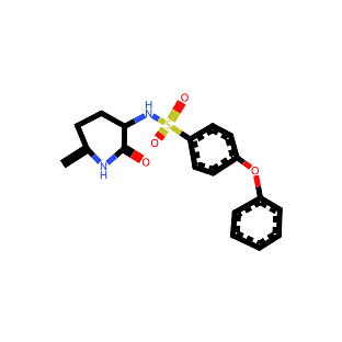 C=C1CCC(NS(=O)(=O)c2ccc(Oc3ccccc3)cc2)C(=O)N1